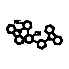 N#Cc1cccc(-c2cccc(-c3cccc(-n4c5ccccc5c5ccccc54)c3)c2C#N)c1-n1c2ccccc2c2ccccc21